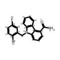 NC(=O)c1cccc2c1c1[c]cccc1n2Cc1cc(F)ccc1Br